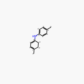 CC1=CC=C(Nc2ccc(C)cc2)CC1